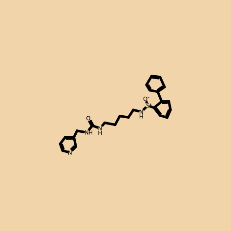 O=C(NCCCCCN[S+]([O-])c1ccccc1-c1ccccc1)NCc1cccnc1